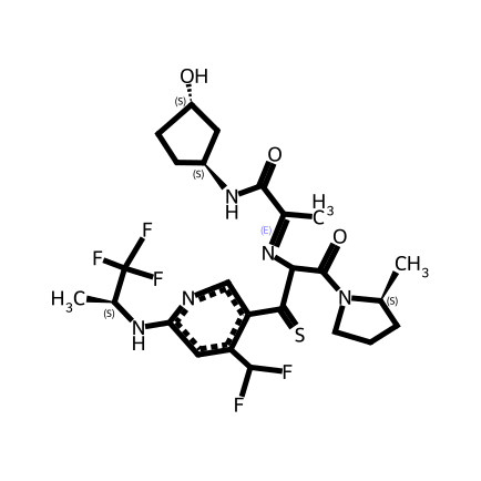 C/C(=N\C(C(=O)N1CCC[C@@H]1C)C(=S)c1cnc(N[C@@H](C)C(F)(F)F)cc1C(F)F)C(=O)N[C@H]1CC[C@H](O)C1